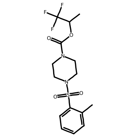 Cc1ccccc1S(=O)(=O)N1CCN(C(=O)OC(C)C(F)(F)F)CC1